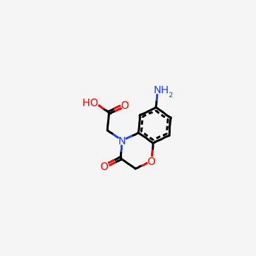 Nc1ccc2c(c1)N(CC(=O)O)C(=O)CO2